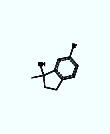 CC1(O)CCc2ccc(Br)cc21